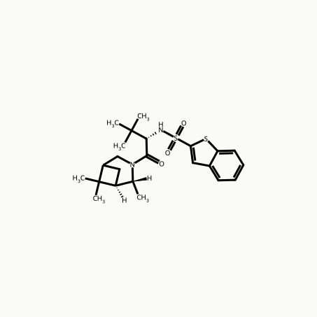 C[C@@H]1[C@@H]2CC(CN1C(=O)[C@@H](NS(=O)(=O)c1cc3ccccc3s1)C(C)(C)C)C2(C)C